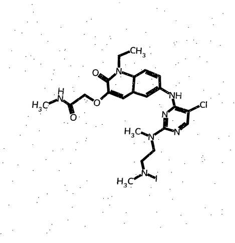 CCN1C(=O)C(OCC(=O)NC)=CC2C=C(Nc3nc(N(C)CCN(C)I)ncc3Cl)C=CC21